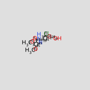 COc1cc(OC)c2c(=O)[nH]c(-c3ccc(OCCO)c(Cl)c3)nc2c1